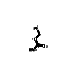 [CH2]C(CC)C(=O)OCC(C)C